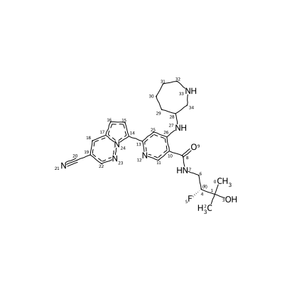 CC(C)(O)[C@H](F)CNC(=O)c1cnc(-c2ccc3cc(C#N)cnn23)cc1NC1CCCCNC1